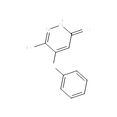 C=C1C=C(Oc2ccccc2)C(C)=NN1